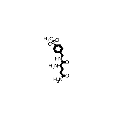 CS(=O)(=O)c1ccc(CNC(=O)[C@@H](N)CCC(N)=O)cc1